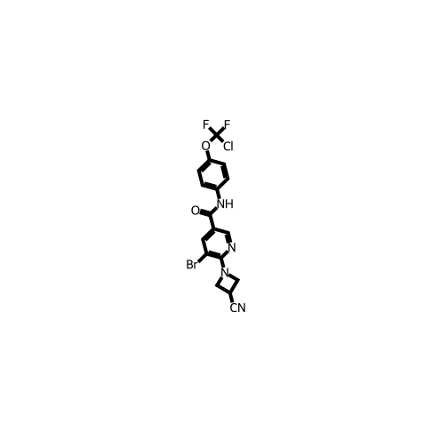 N#CC1CN(c2ncc(C(=O)Nc3ccc(OC(F)(F)Cl)cc3)cc2Br)C1